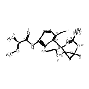 CO[C@@H](C)C(=O)Nc1ccc(F)c([C@@]2(C(F)F)N=C(N)O[C@@H]3C[C@@H]32)c1